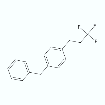 FC(F)(F)CCc1ccc(Cc2ccccc2)cc1